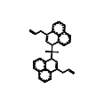 C=CCC1=CC(C(C)(C)C2C=C(CC=C)c3cccc4cccc2c34)c2cccc3cccc1c23